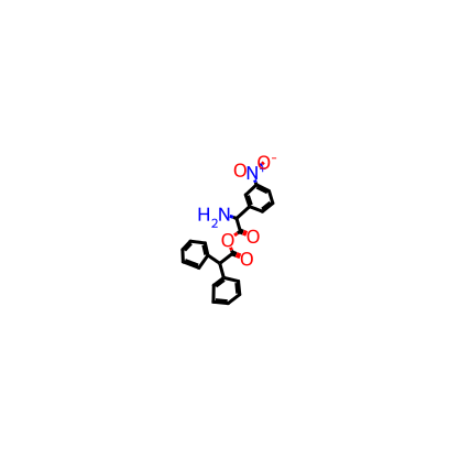 NC(C(=O)OC(=O)C(c1ccccc1)c1ccccc1)c1cccc([N+](=O)[O-])c1